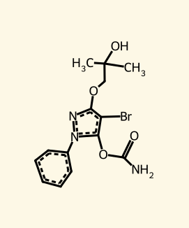 CC(C)(O)COc1nn(-c2ccccc2)c(OC(N)=O)c1Br